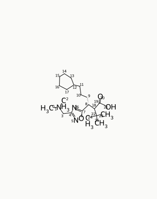 CN(C)Cc1noc([C@H](CCCC2CCCCC2)C(C(=O)O)C(C)(C)C)n1